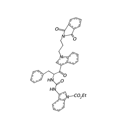 CCOC(=O)n1cc(NC(=O)NC(Cc2ccccc2)C(=O)c2cn(CCCN3C(=O)c4ccccc4C3=O)c3ccccc23)c2ccccc21